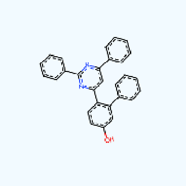 Oc1ccc(-c2cc(-c3ccccc3)nc(-c3ccccc3)n2)c(-c2ccccc2)c1